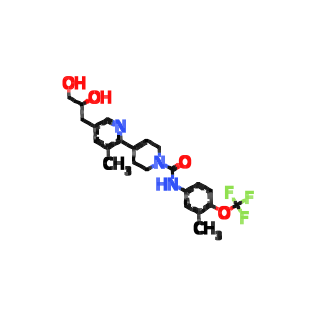 Cc1cc(NC(=O)N2CC=C(c3ncc(C[C@H](O)CO)cc3C)CC2)ccc1OC(F)(F)F